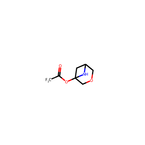 O=C(OC12COCC(C1)N2)C(F)(F)F